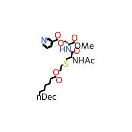 CCCCCCCCCCCCCCCC(=O)OCCSC[C@H](NC(C)=O)C(=O)N[C@@H](COC(=O)c1cccnc1)C(=O)OC